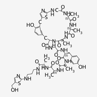 C[C@@H]1NC(=O)CNc2ncc(s2)Cc2cc(ccc2O)CC(C(=O)NCC(=O)N[C@@H](Cc2ccc(O)cc2)C(=O)N[C@@H](C)C(=O)N[C@@H](C)C(=O)N[C@@H](C)C(=O)NCCCNc2ncc(CO)s2)NC(=O)[C@H](C)NC(=O)[C@H](C)NC1=O